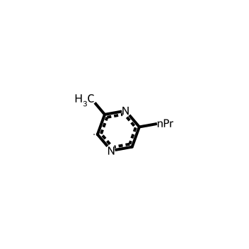 CCCc1cn[c]c(C)n1